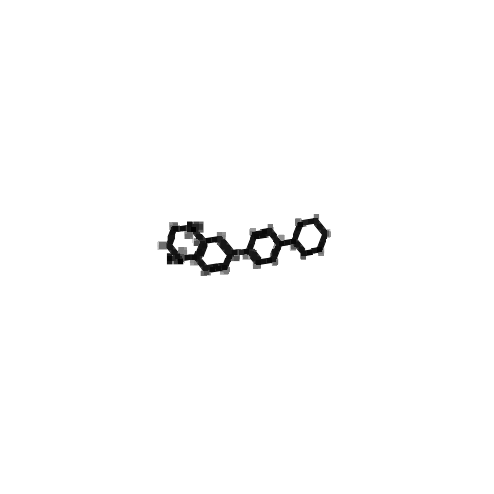 c1cc(C2CCCCC2)ccc1-c1ccc2c(c1)NCCN2